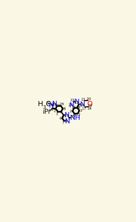 CC(C)c1c2cc(-c3ccnc(Nc4ccc5c(N6CCOCC6)ncnc5c4)n3)ccc2nn1C